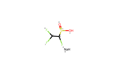 O=S(O)C(F)C(F)F.[NaH]